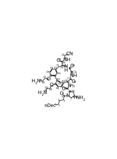 CCCCCCCCCCCCCC(=O)N1C[C@H](N)C[C@H]1C(=O)N(C)[C@@H]1C(=O)N[C@@H](C)C(=O)N[C@H](C(=O)NCC#N)Cc2ccc(OCCN)c(c2)-c2cc1ccc2OCCN